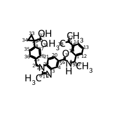 Cc1nc2cc(C(=O)N[C@@H](C)c3cccc(C(C)C)c3)ccc2n1Cc1ccc(C2(C(=O)O)CC2)cc1